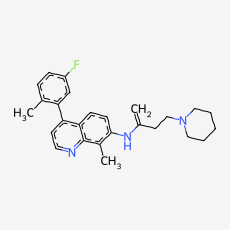 C=C(CCN1CCCCC1)Nc1ccc2c(-c3cc(F)ccc3C)ccnc2c1C